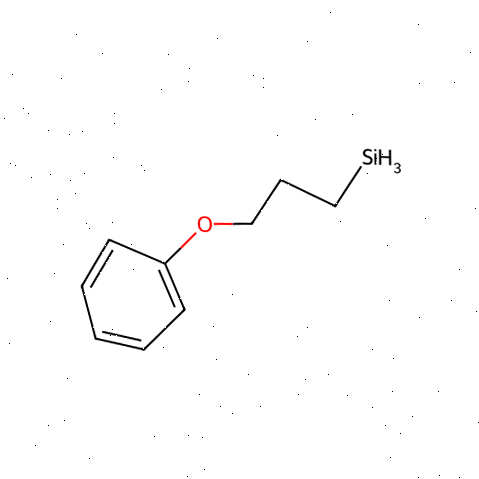 [SiH3]CCCOc1ccccc1